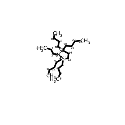 [CH2]CCN1[Si](CCCC)(CCCC)CC[Si]1(CCCC)CCCC